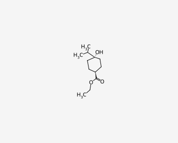 CCOC(=O)[C@H]1CC[C@@](O)(C(C)C)CC1